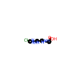 O=C(O)c1cccc(CNc2ccc(-c3ccc(-c4nc5cc(Cl)ccc5[nH]4)cn3)cn2)c1